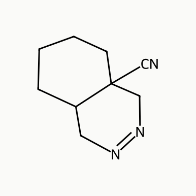 N#CC12CCCCC1CN=NC2